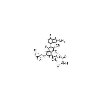 CN1c2nc(OC[C@@]34CCCN3C[C@H](F)C4)nc3c(F)c(-c4ccc(F)c5sc(N)c(C#N)c45)c(Cl)c(c23)OC2CN(C(=O)C3NC3C3CC3)CC21